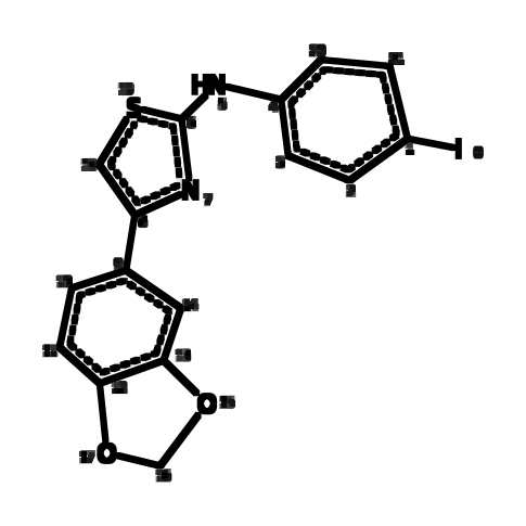 Ic1ccc(Nc2nc(-c3ccc4c(c3)OCO4)cs2)cc1